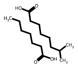 CC(C)CCCCCC(=O)O.CCCCCCC(=O)O